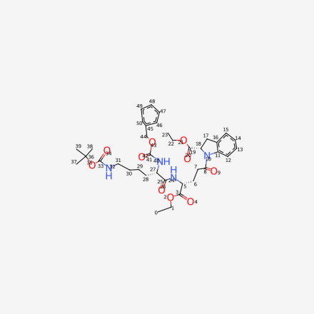 CCOC(=O)[C@@H](CCC(=O)N1c2ccccc2C[C@H]1C(=O)OCC)NC(=O)[C@H](CCCCNC(=O)OC(C)(C)C)NC(=O)OCc1ccccc1